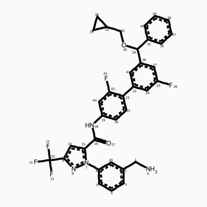 NCc1cccc(-n2nc(C(F)(F)F)cc2C(=O)Nc2ccc(-c3cc(F)cc(C(OCC4CC4)c4ccccc4)c3)c(F)c2)c1